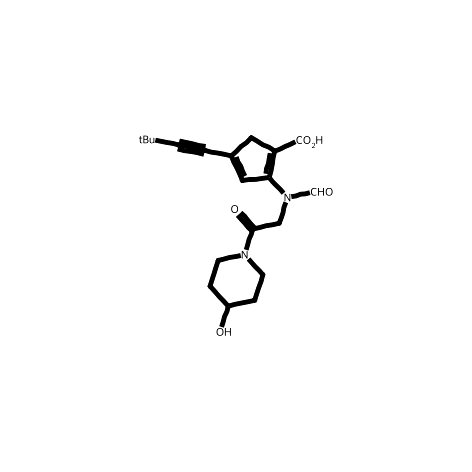 CC(C)(C)C#CC1=CC(N(C=O)CC(=O)N2CCC(O)CC2)=C(C(=O)O)C1